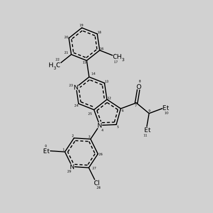 CCc1cc(-n2cc(C(=O)C(CC)CC)c3cc(-c4c(C)cccc4C)ncc32)cc(Cl)n1